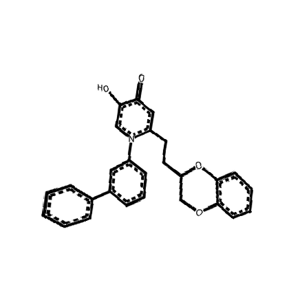 O=c1cc(CCC2COc3ccccc3O2)n(-c2cccc(-c3ccccc3)c2)cc1O